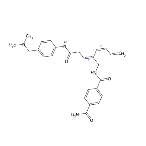 C=C/C=C\C(=C/CC(=O)Nc1ccc(CN(C)C)cc1)CNC(=O)c1ccc(C(N)=O)cc1